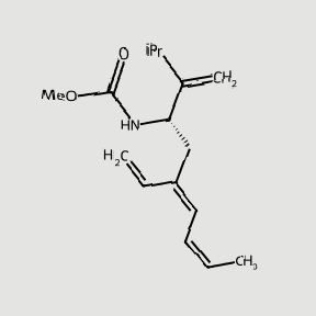 C=C/C(=C\C=C/C)C[C@H](NC(=O)OC)C(=C)C(C)C